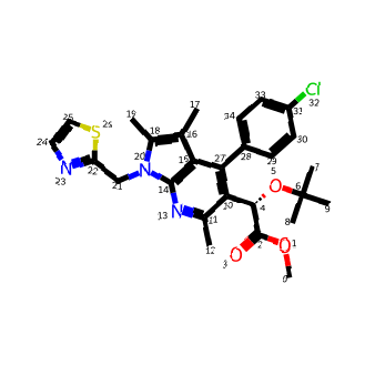 COC(=O)[C@@H](OC(C)(C)C)c1c(C)nc2c(c(C)c(C)n2Cc2nccs2)c1-c1ccc(Cl)cc1